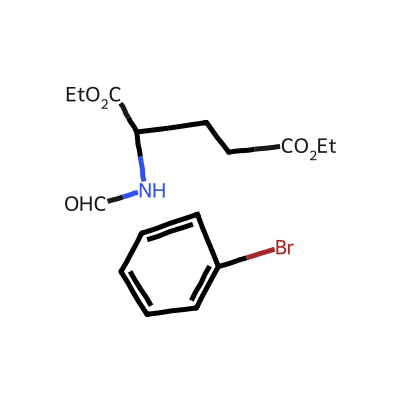 Brc1ccccc1.CCOC(=O)CCC(NC=O)C(=O)OCC